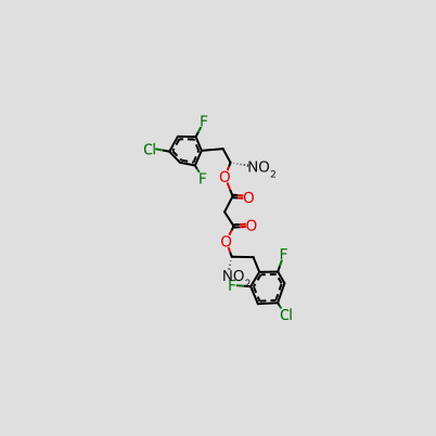 O=C(CC(=O)O[C@H](Cc1c(F)cc(Cl)cc1F)[N+](=O)[O-])O[C@H](Cc1c(F)cc(Cl)cc1F)[N+](=O)[O-]